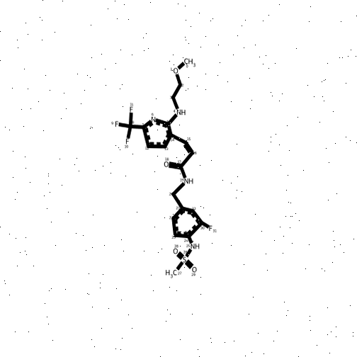 COCCNc1nc(C(F)(F)F)ccc1/C=C\C(=O)NCc1ccc(NS(C)(=O)=O)c(F)c1